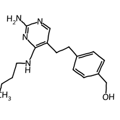 CCCCNc1nc(N)ncc1CCc1ccc(CO)cc1